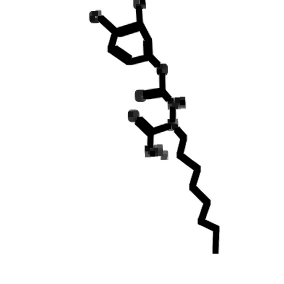 CCCCCCCCN(NC(=O)Oc1ccc(Cl)c(Cl)c1)C(N)=O